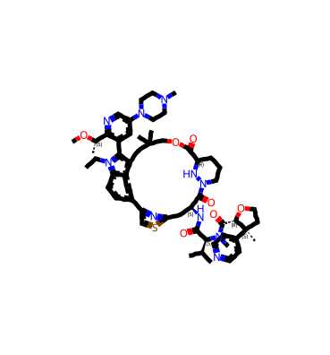 CCn1c(-c2cc(N3CCN(C)CC3)cnc2[C@H](C)OC)c2c3cc(ccc31)-c1csc(n1)C[C@H](NC(=O)[C@H](C(C)C)N(C)C(=O)[C@@H]1OCC[C@@]1(C)c1ccncc1)C(=O)N1CCC[C@](C=O)(COCC(C)(C)C2)N1